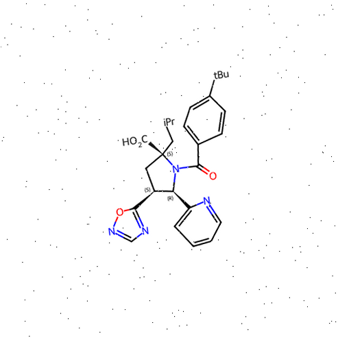 CC(C)C[C@@]1(C(=O)O)C[C@H](c2ncno2)[C@H](c2ccccn2)N1C(=O)c1ccc(C(C)(C)C)cc1